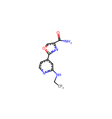 NC(=O)c1coc(-c2ccnc(NCC(F)(F)F)c2)n1